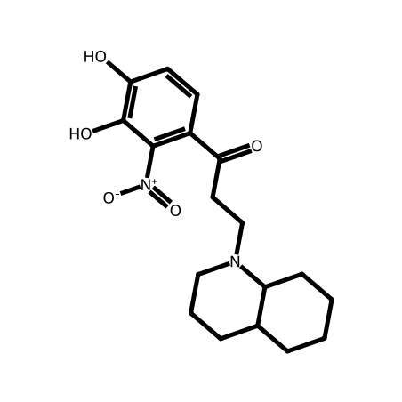 O=C(CCN1CCCC2CCCCC21)c1ccc(O)c(O)c1[N+](=O)[O-]